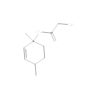 CC1C=CC(C)(NC(=O)CN)CC1